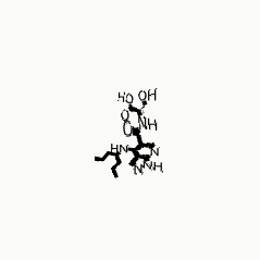 CCCC(CCC)Nc1c(C(=O)N[C@@H](CO)C(=O)O)cnc2[nH]ncc12